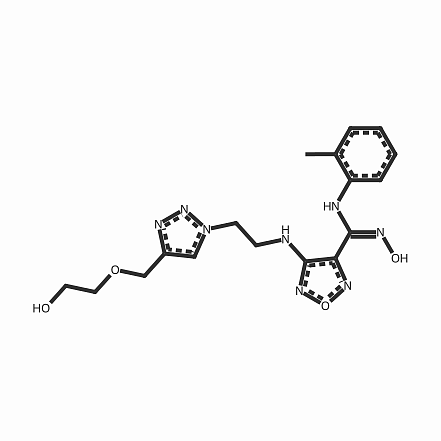 Cc1ccccc1NC(=NO)c1nonc1NCCn1cc(COCCO)nn1